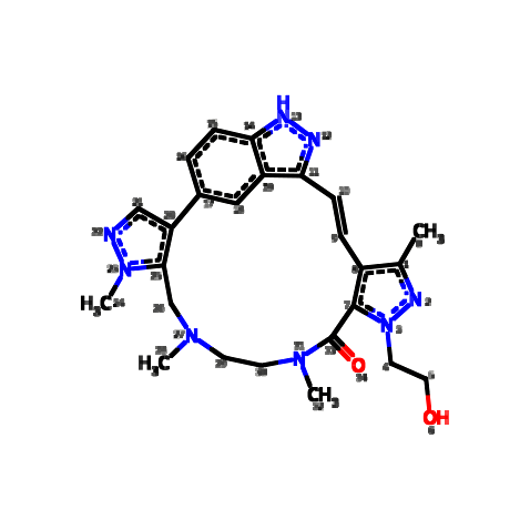 Cc1nn(CCO)c2c1/C=C/c1n[nH]c3ccc(cc13)-c1cnn(C)c1CN(C)CCN(C)C2=O